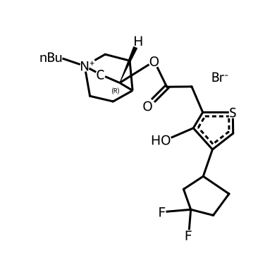 CCCC[N+]12CCC(CC1)[C@@H](OC(=O)Cc1scc(C3CCC(F)(F)C3)c1O)C2.[Br-]